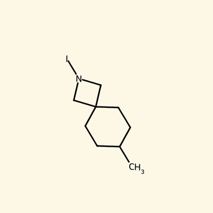 CC1CCC2(CC1)CN(I)C2